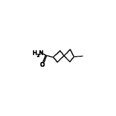 CC1CC2(C1)CC(C(N)=O)C2